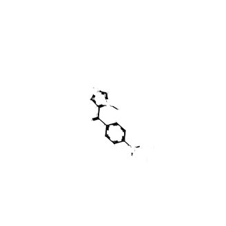 Cn1cncc1C(=O)c1ccc(N(C(=O)O)C(C)(C)C)cc1